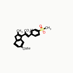 COc1ccc2c(c1)C(C(=Cc1ccc(S(C)(=O)=O)cc1)C(=O)O)=C(C)C2